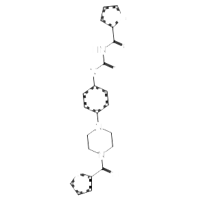 O=C(NC(=S)Nc1ccc(N2CCN(C(=O)c3cccs3)CC2)cc1)c1ccco1